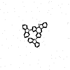 c1ccc2c3cc4ccc(-n5c6ccccc6c6ccccc65)cc4c4cc(-n5c6ccccc6c6ccccc65)ccc4c-3nc2c1